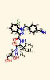 CC(C)(C)[C@H](NC(=O)c1nn(Cc2ccc(C#N)cc2)c2c(F)cccc12)C(=O)NC[C@H](O)CO